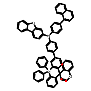 c1ccc([Si]2(c3ccccc3)c3ccccc3C3(c4ccccc4Oc4ccccc43)c3ccc(-c4ccc(N(c5ccc(-c6cccc7ccccc67)cc5)c5ccc6c(c5)oc5ccccc56)cc4)cc32)cc1